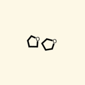 C1CCOC1.C1CCOC1